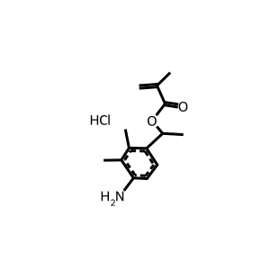 C=C(C)C(=O)OC(C)c1ccc(N)c(C)c1C.Cl